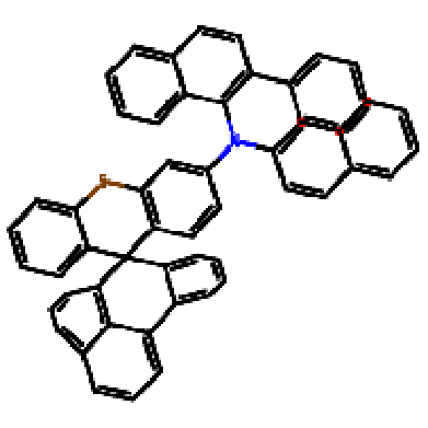 c1ccc(-c2ccc3ccccc3c2N(c2ccc3c(c2)Sc2ccccc2C32c3ccccc3-c3cccc4cccc2c34)c2ccc3ccccc3c2)cc1